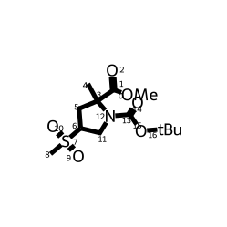 COC(=O)C1(C)CC(S(C)(=O)=O)CN1C(=O)OC(C)(C)C